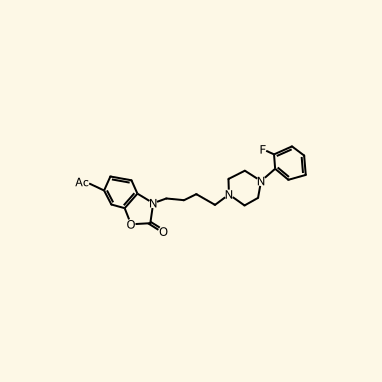 CC(=O)c1ccc2c(c1)oc(=O)n2CCCCN1CCN(c2ccccc2F)CC1